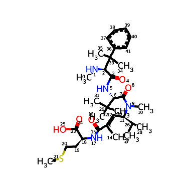 CN[C@H](C(=O)N[C@H](C(=O)N(C)[C@H](/C=C(\C)C(=O)N[C@@H](CCSC)C(=O)O)C(C)C)C(C)(C)C)C(C)(C)c1ccccc1